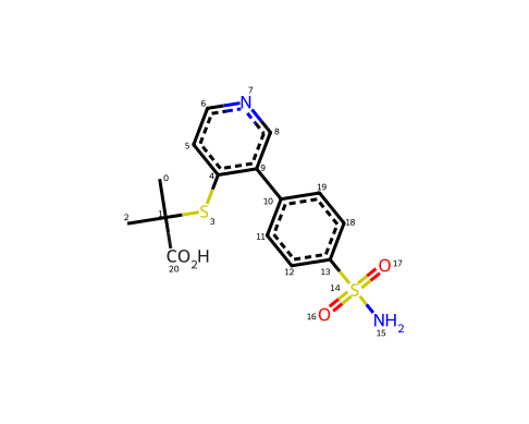 CC(C)(Sc1ccncc1-c1ccc(S(N)(=O)=O)cc1)C(=O)O